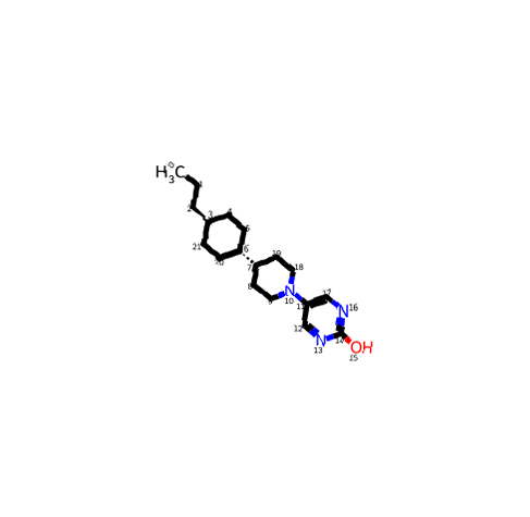 CCC[C@H]1CC[C@H](C2CCN(c3cnc(O)nc3)CC2)CC1